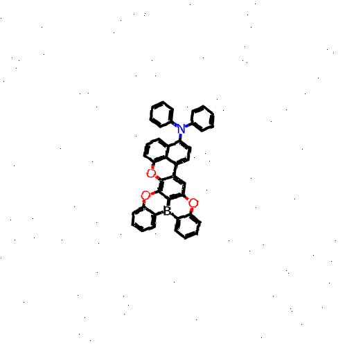 c1ccc(N(c2ccccc2)c2ccc3c4c(cccc24)Oc2c-3cc3c4c2Oc2ccccc2B4c2ccccc2O3)cc1